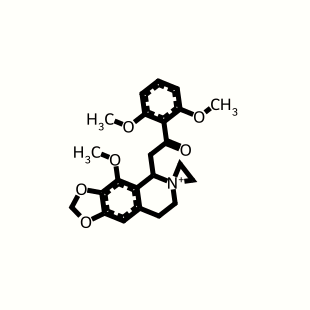 COc1cccc(OC)c1C(=O)CC1c2c(cc3c(c2OC)OCO3)CC[N+]12CC2